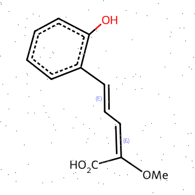 CO/C(=C/C=C/c1ccccc1O)C(=O)O